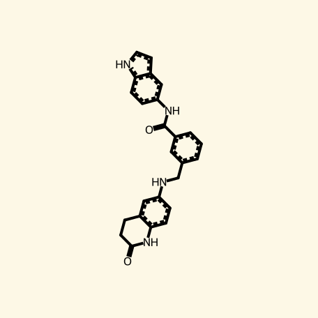 O=C1CCc2cc(NCc3cccc(C(=O)Nc4ccc5[nH]ccc5c4)c3)ccc2N1